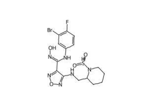 O=[SH](=O)N1CCCCC1CNc1nonc1/C(=N/O)Nc1ccc(F)c(Br)c1